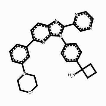 NC1(c2ccc(-n3c(-c4cnccn4)nc4ccc(-c5cccc(N6CCOCC6)c5)nc43)cc2)CCC1